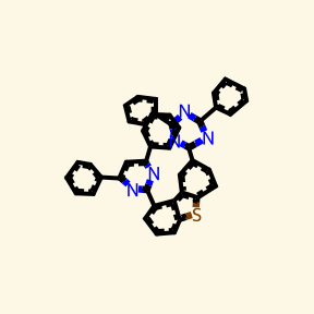 c1ccc(-c2cc(-c3ccccc3)nc(-c3cccc4sc5ccc(-c6nc(-c7ccccc7)nc(-c7ccccc7)n6)cc5c34)n2)cc1